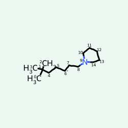 CC(C)(C)CC[CH]CCN1CCCCC1